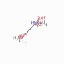 CCCC(CCCCCCCCCCCCCCC(=O)NC(CCC(=O)O)C(=O)OC(C)(C)C)P(=O)(O)OC